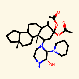 CC(=O)OC1(OC(C)=O)CC(N2CCN[C@@H](O)[C@@H]2N2CCCCC2)[C@]2(C)C3CC[C@]4(C)CCCC4C3CCC2C1C